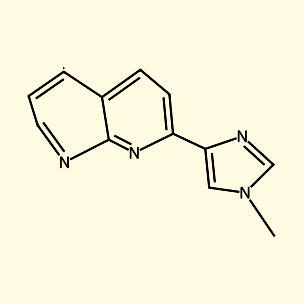 Cn1cnc(-c2ccc3[c]ccnc3n2)c1